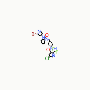 O=C(NC1CCC(Cn2c(=O)n(-c3ccnc(Br)c3)c3ccccc32)CC1)c1cc(Cl)cnc1C(F)F